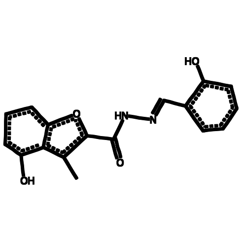 Cc1c(C(=O)NN=Cc2ccccc2O)oc2cccc(O)c12